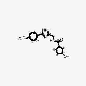 CCCCCCCCCCc1ccc(-c2noc(CNC(=O)[C@@H]3C[C@H](O)CN3)n2)cc1